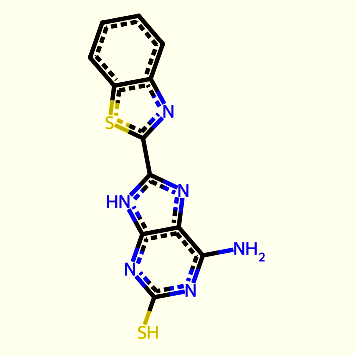 Nc1nc(S)nc2[nH]c(-c3nc4ccccc4s3)nc12